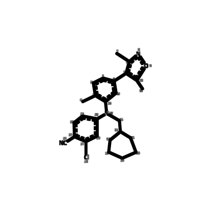 Cc1ccc(-c2c(C)noc2C)cc1N(CC1CCCCC1)c1ccc(C#N)c(Cl)c1